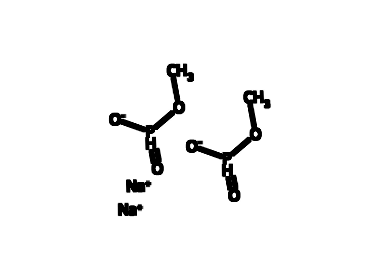 CO[PH](=O)[O-].CO[PH](=O)[O-].[Na+].[Na+]